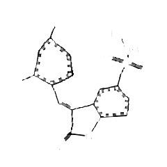 CNS(=O)(=O)c1ccc2c(c1)C(=Cc1ccc(F)cc1F)C(=O)N2